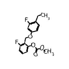 CCc1ccc(OCc2c(F)cccc2OC(=O)OC)cc1F